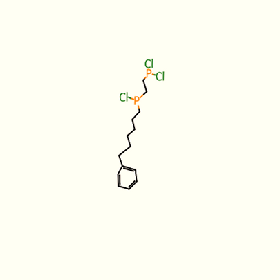 ClP(Cl)CCP(Cl)CCCCCCc1ccccc1